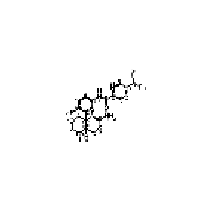 C[C@H]1COC[C@]2(c3cc(NC(=O)c4cnc(C(F)F)cn4)ccc3F)N=C(N)SC[C@H]12